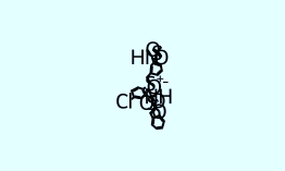 CS(=O)(=O)Nc1cccc(C[S+]([O-])c2ccc(Cl)cc2NS(=O)(=O)c2cc3ccccc3o2)c1